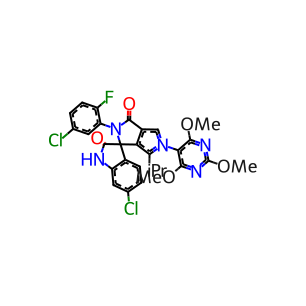 COc1nc(OC)c(-n2cc3c(c2C(C)C)C2(C(=O)Nc4cc(Cl)ccc42)N(c2cc(Cl)ccc2F)C3=O)c(OC)n1